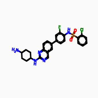 NC1CCC(Nc2ncc3cc(-c4ccc(NS(=O)(=O)c5ccccc5Cl)c(F)c4)ccc3n2)CC1